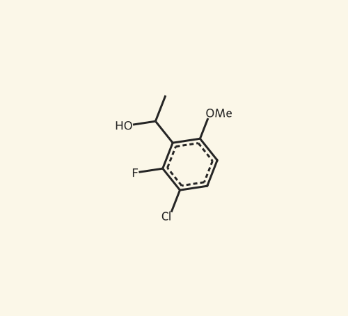 COc1ccc(Cl)c(F)c1C(C)O